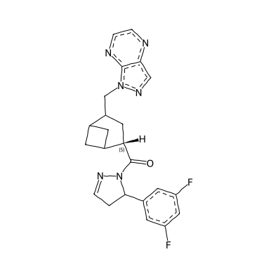 O=C([C@H]1CC(Cn2ncc3nccnc32)C2CC1C2)N1N=CCC1c1cc(F)cc(F)c1